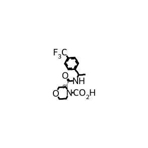 CC(NC(=O)[C@H]1COCCN1C(=O)O)c1ccc(C(F)(F)F)cc1